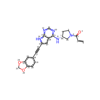 C=CC(=O)N1CC[C@@H](Nc2ncnc3[nH]c(C#Cc4ccc5c(c4)OCO5)cc23)C1